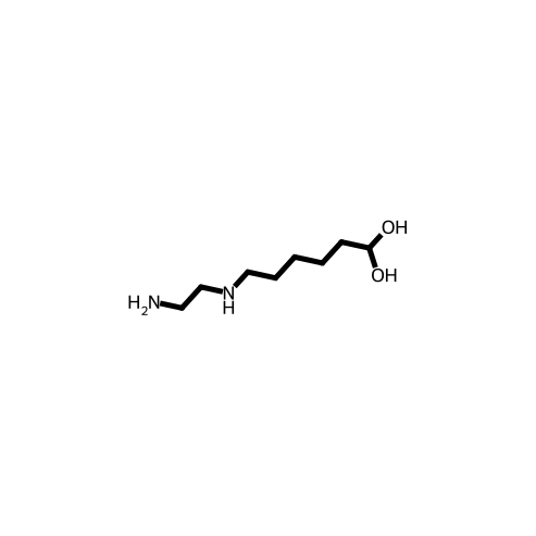 NCCNCCCCCC(O)O